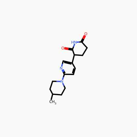 CC1CCN(c2ccc(C3CCC(=O)NC3=O)cn2)CC1